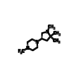 CN1CC(N2CCN(C(F)(F)F)CC2)CC1(C)C